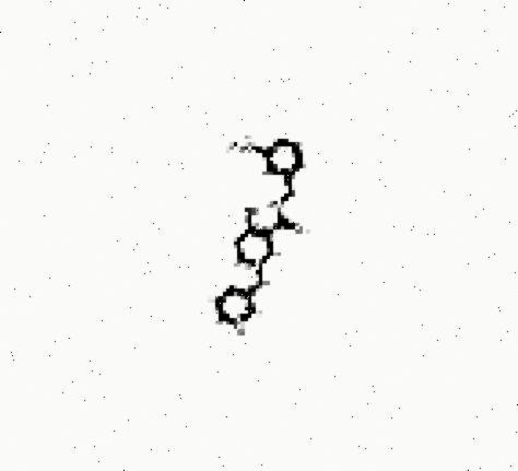 COc1cccc(CNC(=O)C2=C(N)CCN(Cc3cccnc3)C2)c1